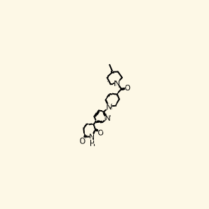 CC1CCN(C(=O)C2CCN(c3ccc(C4CCC(=O)NC4=O)cn3)CC2)CC1